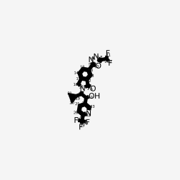 O=C1c2cc(-c3nnc(C(F)F)o3)ccc2CN1C(C1CC1)C(O)c1ccc(C(F)(F)F)nc1